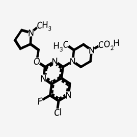 CC1CN(C(=O)O)CCN1c1nc(OCC2CCCN2C)nc2c(F)c(Cl)ncc12